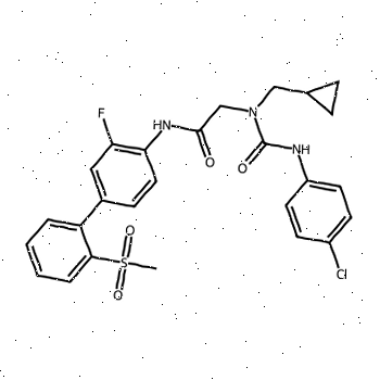 CS(=O)(=O)c1ccccc1-c1ccc(NC(=O)CN(CC2CC2)C(=O)Nc2ccc(Cl)cc2)c(F)c1